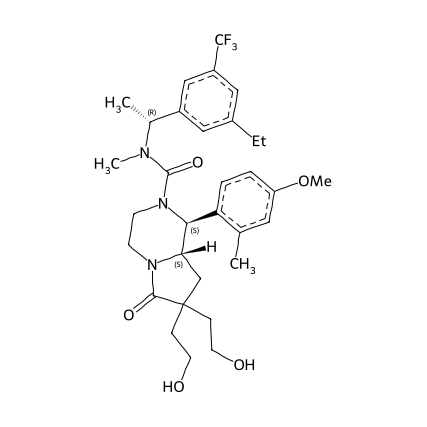 CCc1cc([C@@H](C)N(C)C(=O)N2CCN3C(=O)C(CCO)(CCO)C[C@H]3[C@@H]2c2ccc(OC)cc2C)cc(C(F)(F)F)c1